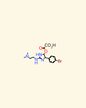 CN(C)CCNC1=NC(c2ccc(Br)cc2)C(OC(=O)C(=O)O)N1